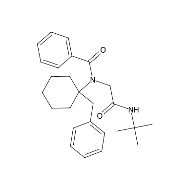 CC(C)(C)NC(=O)CN(C(=O)c1ccccc1)C1(Cc2ccccc2)CCCCC1